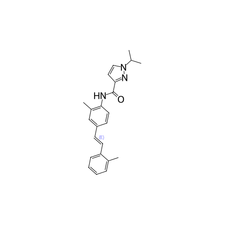 Cc1ccccc1/C=C/c1ccc(NC(=O)c2ccn(C(C)C)n2)c(C)c1